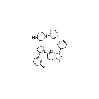 Fc1cccc([C@H]2CCCN2c2ccc3ncc(-c4cccc(-c5ccnc(N6CCNCC6)c5)n4)n3n2)c1